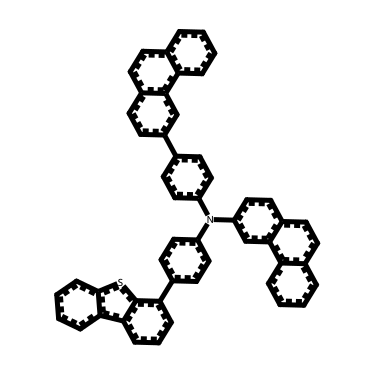 c1ccc2c(c1)ccc1ccc(-c3ccc(N(c4ccc(-c5cccc6c5sc5ccccc56)cc4)c4ccc5ccc6ccccc6c5c4)cc3)cc12